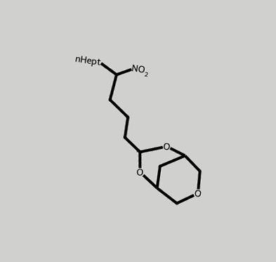 [CH2]CCCCCCC(CCC[C]1OC2COCC(C2)O1)[N+](=O)[O-]